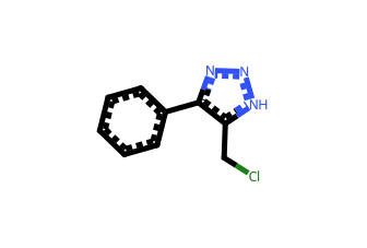 ClCc1[nH]nnc1-c1ccccc1